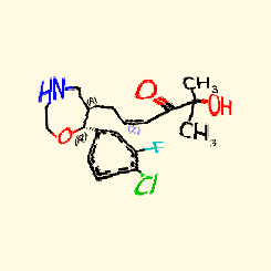 CC(C)(O)C(=O)/C=C\C[C@@H]1CNCCO[C@H]1c1ccc(Cl)c(F)c1